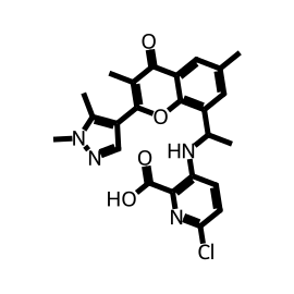 Cc1cc(C(C)Nc2ccc(Cl)nc2C(=O)O)c2oc(-c3cnn(C)c3C)c(C)c(=O)c2c1